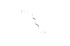 [CH2]CC=CC=CCC